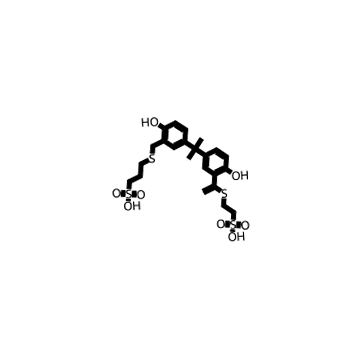 C=C(SCCS(=O)(=O)O)c1cc(C(C)(C)c2ccc(O)c(CSCCCS(=O)(=O)O)c2)ccc1O